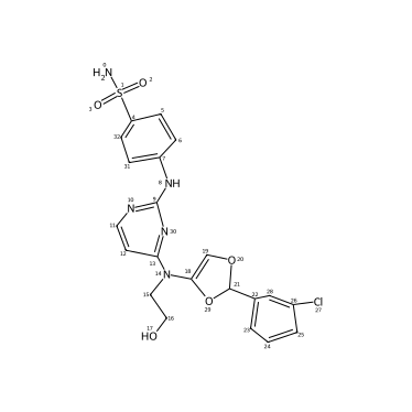 NS(=O)(=O)c1ccc(Nc2nccc(N(CCO)C3=COC(c4cccc(Cl)c4)O3)n2)cc1